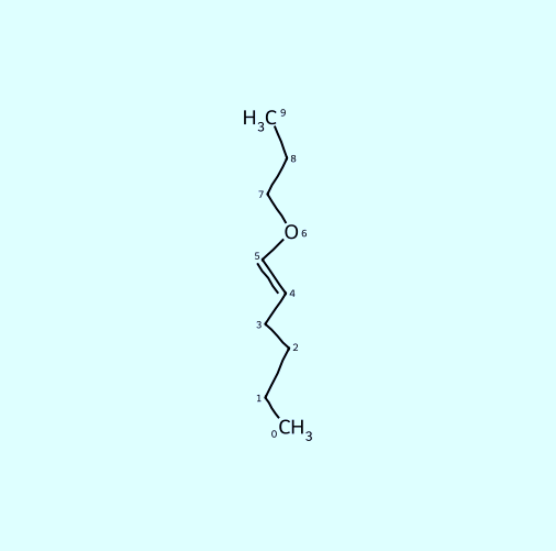 CCCCC=COCCC